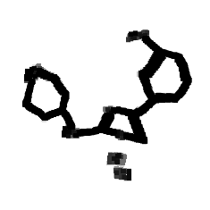 COc1cccc(-c2coc(NC3CCNCC3)n2)c1.Cl.Cl